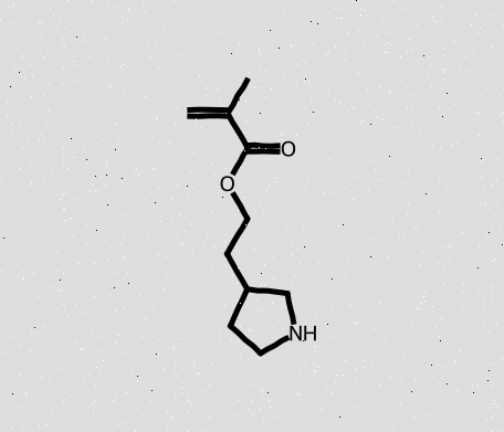 C=C(C)C(=O)OCCC1CCNC1